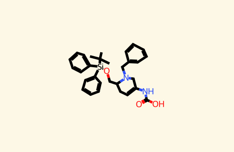 CC(C)(C)[Si](OCC1CC=C(NC(=O)O)CN1Cc1ccccc1)(c1ccccc1)c1ccccc1